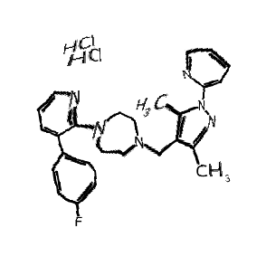 Cc1nn(-c2ccccn2)c(C)c1CN1CCN(c2ncccc2-c2ccc(F)cc2)CC1.Cl.Cl